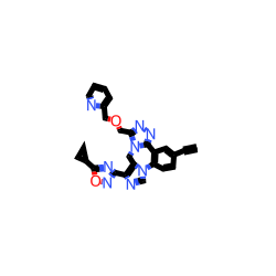 C#Cc1ccc2c(c1)-c1nnc(COCc3ccccn3)n1Cc1c(-c3noc(C4CC4)n3)ncn1-2